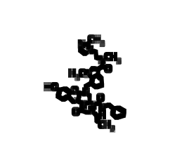 C=CCN1CC(=O)N2C(CN(Cc3cccc4c(C(=O)N(C)CCn5ccnc5C)cn(C)c34)C(=O)[C@@H]2Cc2ccc(O)cc2)N1C(=O)NCc1ccccc1